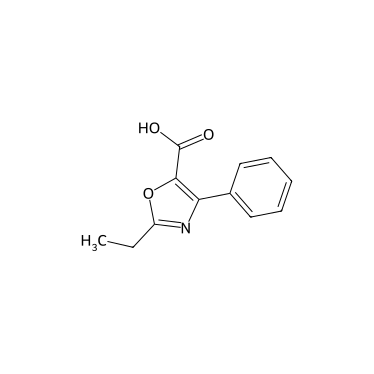 CCc1nc(-c2ccccc2)c(C(=O)O)o1